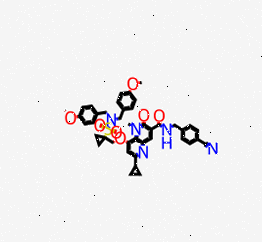 COc1ccc(CN(Cc2ccc(OC)cc2)S(=O)(=O)C2(COc3cc(C4CC4)nc4cc(C(=O)NCc5ccc(C#N)cc5)c(=O)n(C)c34)CC2)cc1